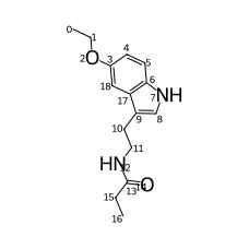 CCOc1ccc2[nH]cc(CCNC(=O)CC)c2c1